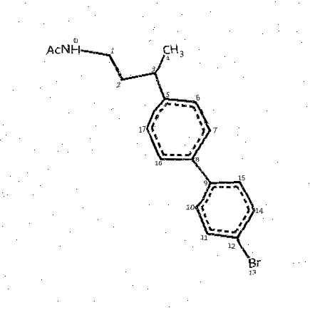 CC(=O)NCCC(C)c1ccc(-c2ccc(Br)cc2)cc1